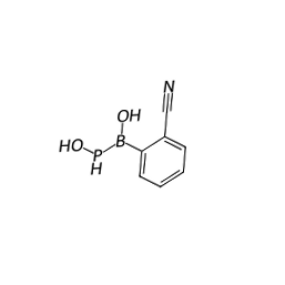 N#Cc1ccccc1B(O)PO